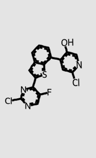 Oc1cnc(Cl)cc1-c1cccc2cc(-c3nc(Cl)ncc3F)sc12